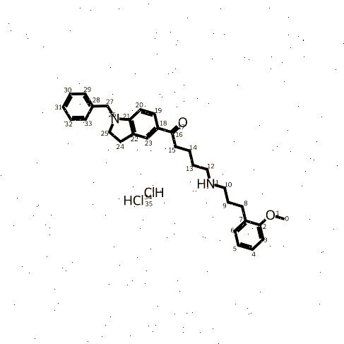 COc1ccccc1CCCNCCCCC(=O)c1ccc2c(c1)CCN2Cc1ccccc1.Cl.Cl